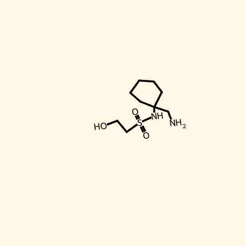 NCC1(NS(=O)(=O)CCO)CCCCC1